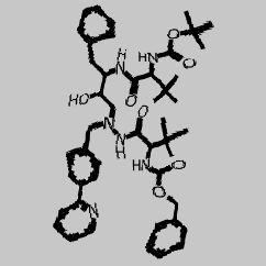 CC(C)(C)OC(=O)NC(C(=O)NC(Cc1ccccc1)C(O)CN(Cc1ccc(-c2ccccn2)cc1)NC(=O)C(NC(=O)OCc1ccccc1)C(C)(C)C)C(C)(C)C